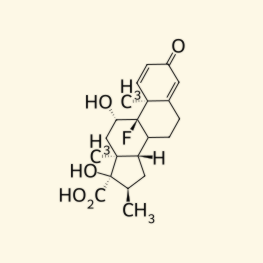 C[C@@H]1C[C@H]2C3CCC4=CC(=O)C=C[C@]4(C)[C@@]3(F)[C@@H](O)C[C@]2(C)[C@@]1(O)C(=O)O